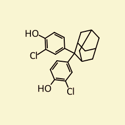 Oc1ccc(C2(c3ccc(O)c(Cl)c3)C3CC4CC(C3)CC2C4)cc1Cl